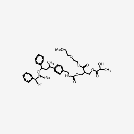 COCCOCCOC(=O)C(COC(=O)NCc1ccc(C(C)CC(ON(C(c2ccccc2)C(C)C)C(C)(C)C)c2ccccc2)cc1)COC(=O)C(C)O